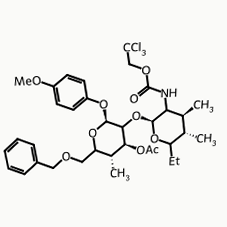 CCC1O[C@@H](OC2[C@H](Oc3ccc(OC)cc3)OC(COCc3ccccc3)[C@@H](C)[C@@H]2OC(C)=O)C(NC(=O)OCC(Cl)(Cl)Cl)[C@@H](C)[C@@H]1C